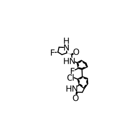 O=C1Cc2ccc(-c3cccc(NC(=O)[C@@H]4C[C@@H](F)CN4)c3F)c(Cl)c2N1